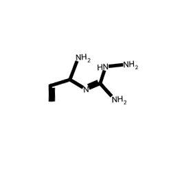 C=CC(N)N=C(N)NN